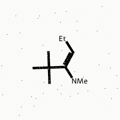 CC/C=C(/NC)C(C)(C)C